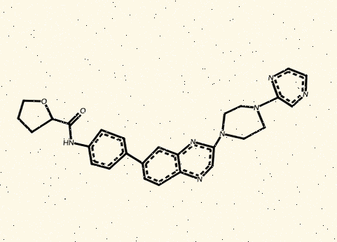 O=C(Nc1ccc(-c2ccc3ncc(N4CCN(c5cnccn5)CC4)nc3c2)cc1)C1CCCO1